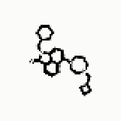 O=C1c2cccc3c(N4CCCN(CC5CCC5)CC4)ccc(c23)N1CC1CCCCC1